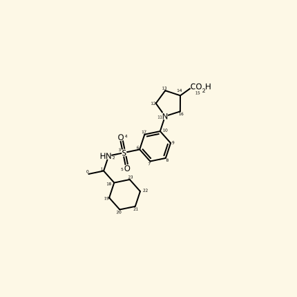 CC(NS(=O)(=O)c1cccc(N2CCC(C(=O)O)C2)c1)C1CCCCC1